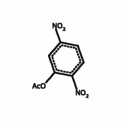 CC(=O)Oc1cc([N+](=O)[O-])ccc1[N+](=O)[O-]